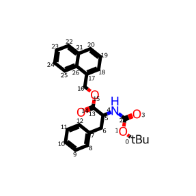 CC(C)(C)OC(=O)NC(Cc1ccccc1)C(=O)OCc1cccc2ccccc12